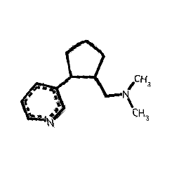 CN(C)CC1CCCC1c1cccnc1